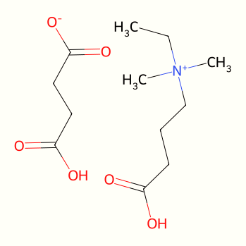 CC[N+](C)(C)CCCC(=O)O.O=C([O-])CCC(=O)O